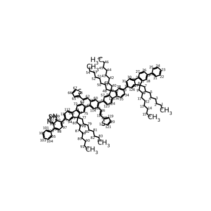 CCCCCCCCC1(CCCCCCCC)c2cc(-c3ccccc3)ccc2-c2ccc(-c3ccc4c(c3)C(CCCCCCCC)(CCCCCCCC)c3cc(-c5cc(/C=C/c6cccs6)c(-c6ccc7c(c6)C(CCCCCCCC)(CCCCCCCC)c6cc(-c8ccc(-c9ccccc9)c9nsnc89)ccc6-7)cc5/C=C/c5cccs5)ccc3-4)cc21